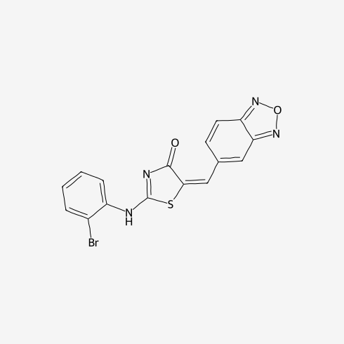 O=C1N=C(Nc2ccccc2Br)SC1=Cc1ccc2nonc2c1